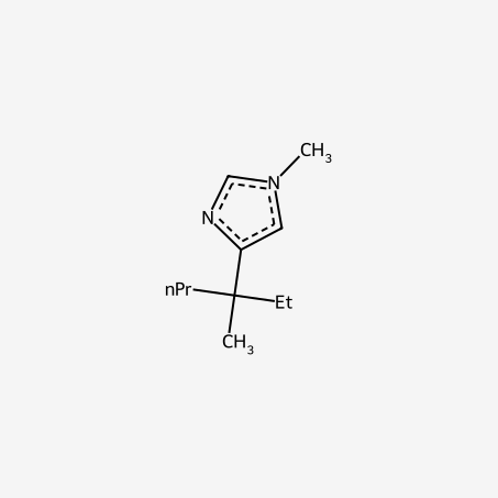 CCCC(C)(CC)c1cn(C)cn1